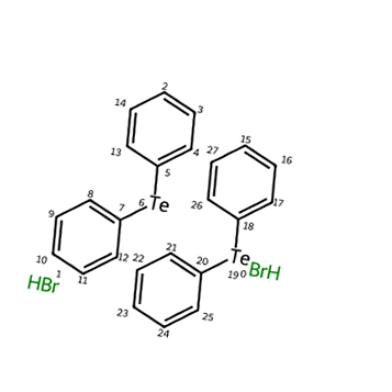 Br.Br.c1ccc([Te]c2ccccc2)cc1.c1ccc([Te]c2ccccc2)cc1